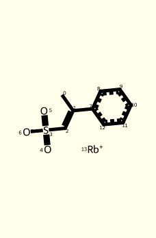 CC(=CS(=O)(=O)[O-])c1ccccc1.[Rb+]